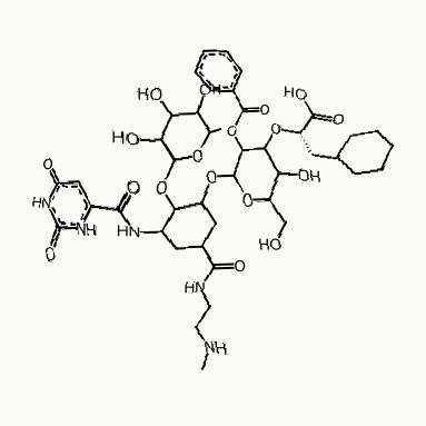 CNCCNC(=O)C1CC(NC(=O)c2cc(=O)[nH]c(=O)[nH]2)C(OC2OC(C)C(O)C(O)C2O)C(OC2OC(CO)C(O)C(O[C@@H](CC3CCCCC3)C(=O)O)C2OC(=O)c2ccccc2)C1